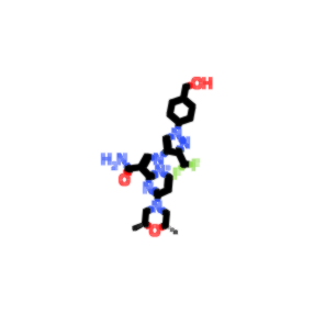 C[C@H]1CN(c2cc[n+]3c(n2)c(C(N)=O)cn3-c2cn(C3CCC(CO)CC3)nc2C(F)F)C[C@H](C)O1